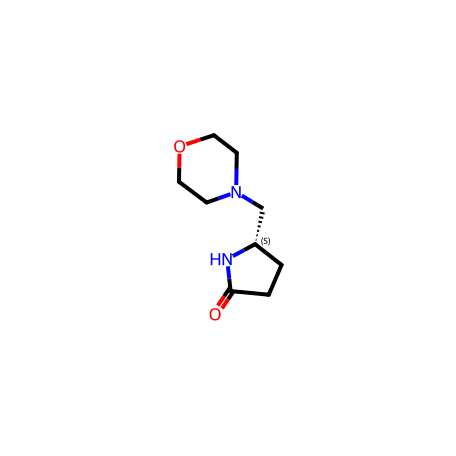 O=C1CC[C@@H](CN2CCOCC2)N1